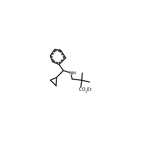 CCOC(=O)C(C)(C)CNC(c1ccccc1)C1CC1